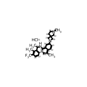 Cc1c(C(C)Nc2nnc(C)c3ccc(N4CC5(CCN(C)C5)C4)cc23)cccc1C(F)(F)F.Cl